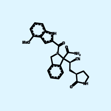 COc1cccc2[nH]c(C(=O)N3Cc4ccccc4C3(C(N)=O)[C@@H](C#N)C[C@H]3CCNC3=O)cc12